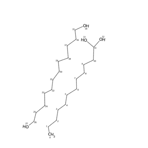 CCCCCCCCCCCC(O)O.OCCCCCCCCCCCCO